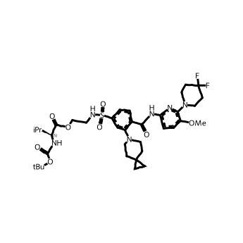 COc1ccc(NC(=O)c2ccc(S(=O)(=O)NCCOC(=O)[C@@H](NC(=O)OC(C)(C)C)C(C)C)cc2N2CCC3(CC2)CC3)nc1N1CCC(F)(F)CC1